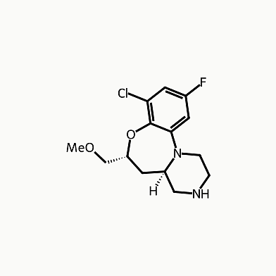 COC[C@H]1C[C@@H]2CNCCN2c2cc(F)cc(Cl)c2O1